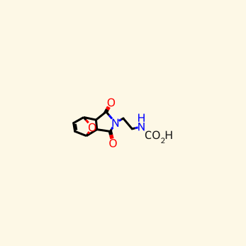 O=C(O)NCCN1C(=O)C2C3C=CC(O3)C2C1=O